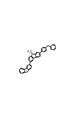 Cn1c2ccc(-c3ccc4c(c3)-c3ccccc3C4)cc2c2ccc(-c3ccc(Cc4ccccc4)cc3)cc21